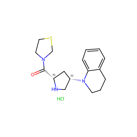 Cl.O=C([C@@H]1C[C@H](N2CCCc3ccccc32)CN1)N1CCSC1